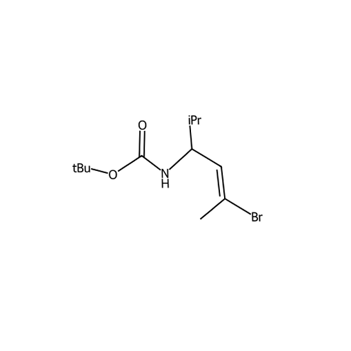 C/C(Br)=C\C(NC(=O)OC(C)(C)C)C(C)C